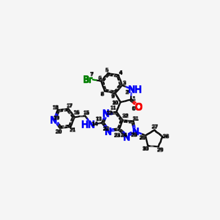 O=C1Nc2ccc(Br)cc2C1c1nc(NCc2ccncc2)nc2nn(C3CCCC3)cc12